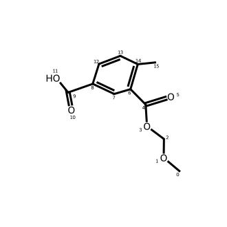 COCOC(=O)c1cc(C(=O)O)ccc1C